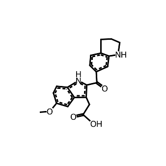 COc1ccc2[nH]c(C(=O)c3ccc4c(c3)NCCC4)c(CC(=O)O)c2c1